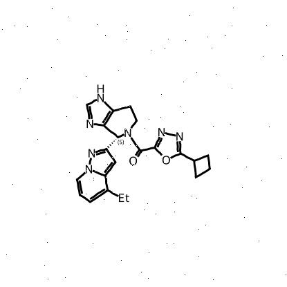 CCc1cccn2nc([C@@H]3c4nc[nH]c4CCN3C(=O)c3nnc(C4CCC4)o3)cc12